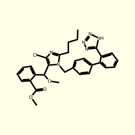 CCCCc1nc(Cl)c(C(OC)c2ccccc2C(=O)OC)n1Cc1ccc(-c2ccccc2-c2nnn[nH]2)cc1